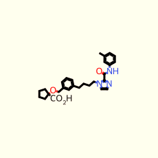 Cc1cccc(NC(=O)c2nccn2CCCCc2cccc(COC3(C(=O)O)CCCC3)c2)c1